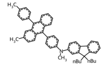 CCCCC1(CCCC)c2ccccc2-c2ccc(N(C)c3ccc(-c4c5ccccc5c(-c5ccc(C)cc5)c5cc(C)ccc45)cc3)cc21